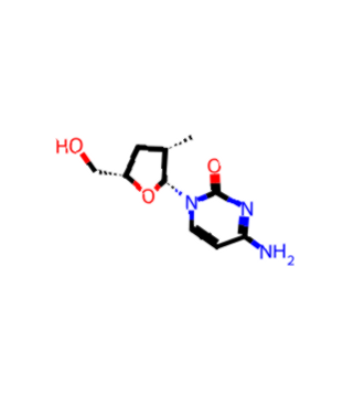 C[C@H]1C[C@@H](CO)O[C@H]1n1ccc(N)nc1=O